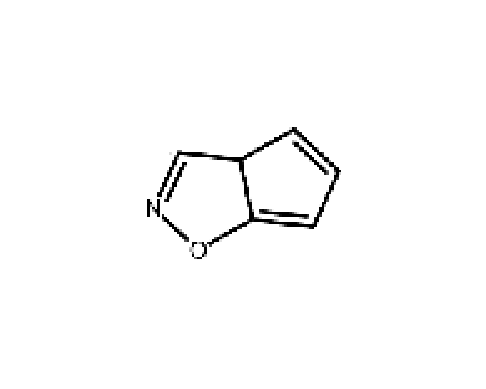 [C]1=NOC2=CC=CC12